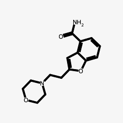 NC(=O)c1cccc2oc(CCN3CCOCC3)cc12